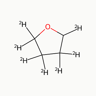 [2H]C1OC([2H])([2H])C([2H])([2H])C1([2H])[2H]